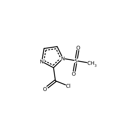 CS(=O)(=O)n1ccnc1C(=O)Cl